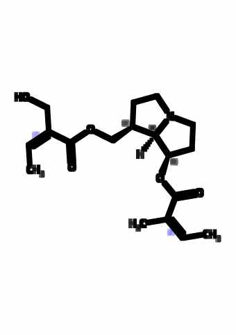 C/C=C(/C)C(=O)O[C@@H]1CCN2CC[C@H](COC(=O)/C(=C\C)CO)[C@H]12